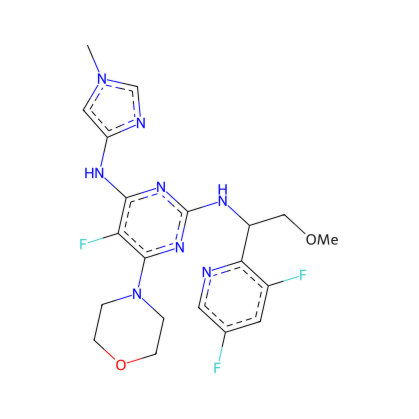 COCC(Nc1nc(Nc2cn(C)cn2)c(F)c(N2CCOCC2)n1)c1ncc(F)cc1F